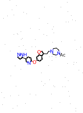 CC(=O)N1CCCN(CCc2coc3cc(Oc4ccc(-c5ccn[nH]5)cn4)ccc23)CC1